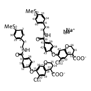 CSc1ccc(CCNC(=O)c2ccc(Oc3cc4c(cc3Cl)C(C(=O)[O-])CCO4)cc2)cc1.CSc1ccc(CCNC(=O)c2ccc(Oc3cc4c(cc3Cl)C(C(=O)[O-])CCO4)cc2)cc1.[Na+].[Na+]